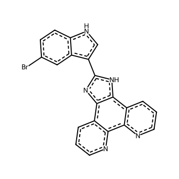 Brc1ccc2[nH]cc(-c3nc4c5cccnc5c5ncccc5c4[nH]3)c2c1